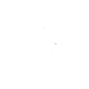 Cc1ccc(-c2cc([C@@H](O)[C@H]3C=CCCN3C(=O)OC(C)(C)C)c3ccccc3n2)cc1